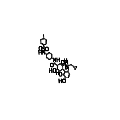 Cc1ccc(S(=O)(=O)Nc2ccc(NC(=O)C3=C(O)[C@@H]4Oc5c(O)ccc6c5[C@@]45CCN(CC4CC4)[C@H](C6)[C@]5(O)C3)cc2)cc1